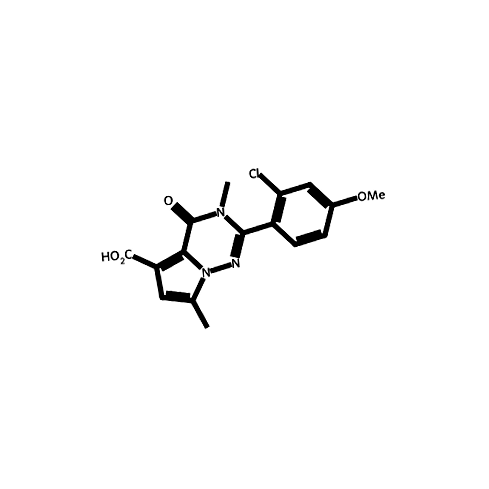 COc1ccc(-c2nn3c(C)cc(C(=O)O)c3c(=O)n2C)c(Cl)c1